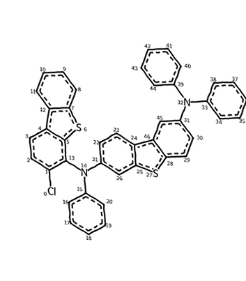 Clc1ccc2c(sc3ccccc32)c1N(c1ccccc1)c1ccc2c(c1)sc1ccc(N(c3ccccc3)c3ccccc3)cc12